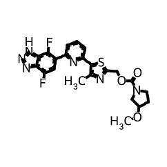 COC1CCN(C(=O)OCc2nc(C)c(-c3cccc(-c4cc(F)c5nn[nH]c5c4F)n3)s2)C1